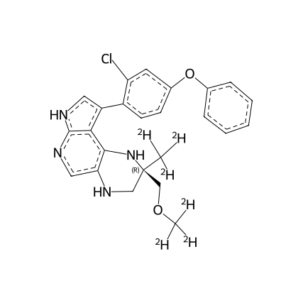 [2H]C([2H])([2H])OC[C@@]1(C([2H])([2H])[2H])CNc2cnc3[nH]cc(-c4ccc(Oc5ccccc5)cc4Cl)c3c2N1